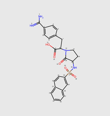 N=C(N)c1ccc(CC(C(=O)O)N2CCC(NS(=O)(=O)c3ccc4ccccc4c3)C2=O)cc1